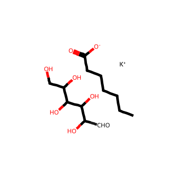 CCCCCCC(=O)[O-].O=CC(O)C(O)C(O)C(O)CO.[K+]